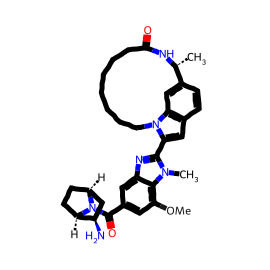 COc1cc(C(=O)N2[C@H]3CC[C@@H]2[C@H](N)C3)cc2nc(-c3cc4ccc5cc4n3CCCCCCCC(=O)N[C@@H]5C)n(C)c12